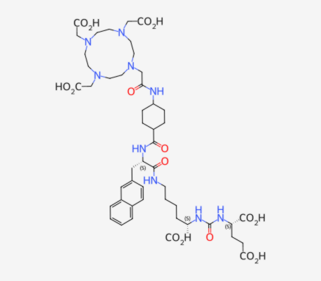 O=C(O)CC[C@H](NC(=O)N[C@@H](CCCCNC(=O)[C@H](Cc1ccc2ccccc2c1)NC(=O)C1CCC(NC(=O)CN2CCN(CC(=O)O)CCN(CC(=O)O)CCN(CC(=O)O)CC2)CC1)C(=O)O)C(=O)O